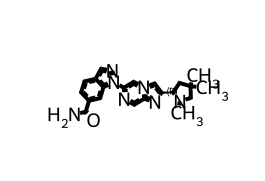 CN1CC(C)(C)C[C@@H]1c1cn2cc(-n3ncc4ccc(C(N)=O)cc43)ncc2n1